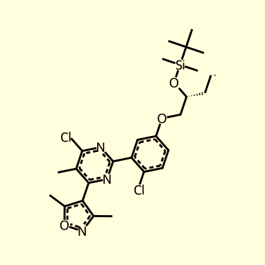 [CH2]C[C@H](COc1ccc(Cl)c(-c2nc(Cl)c(C)c(-c3c(C)noc3C)n2)c1)O[Si](C)(C)C(C)(C)C